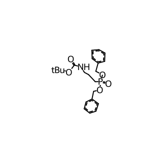 CC(C)(C)OC(=O)NCCCP(=O)(OCc1ccccc1)OCc1ccccc1